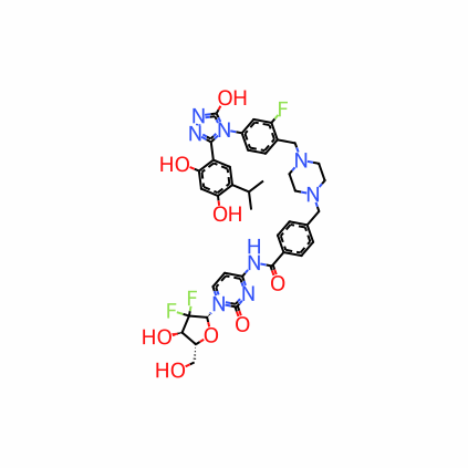 CC(C)c1cc(-c2nnc(O)n2-c2ccc(CN3CCN(Cc4ccc(C(=O)Nc5ccn([C@@H]6O[C@H](CO)[C@@H](O)C6(F)F)c(=O)n5)cc4)CC3)c(F)c2)c(O)cc1O